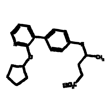 CCOC(=O)CCC(C)Sc1ccc(-c2cccnc2OC2CCCC2)cc1